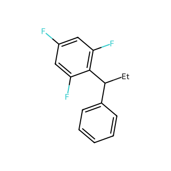 CCC(c1ccccc1)c1c(F)cc(F)cc1F